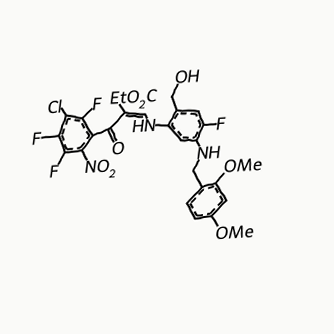 CCOC(=O)C(=CNc1cc(NCc2ccc(OC)cc2OC)c(F)cc1CO)C(=O)c1c(F)c(Cl)c(F)c(F)c1[N+](=O)[O-]